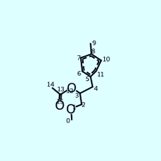 COCC(Cc1ccc(C)cc1)OC(C)=O